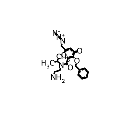 CC(C)N(CCN)C(=O)c1oc(CN=[N+]=[N-])cc(=O)c1OCc1ccccc1